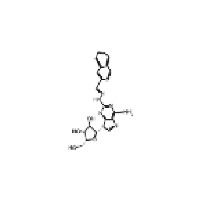 Nc1nc(N/N=C/c2ccc3ccccc3c2)nc2c1ncn2[C@@H]1O[C@H](CO)[C@@H](O)[C@H]1O